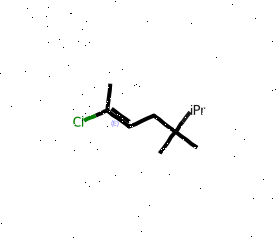 C/C(Cl)=C\CC(C)(C)C(C)C